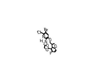 Nc1nc(Cl)c(Br)cc1OCC1COc2ccc(F)c(C3OCCO3)c21